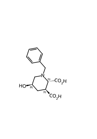 O=C(O)[C@H]1C[C@@H](O)CN(Cc2ccccc2)[C@@H]1C(=O)O